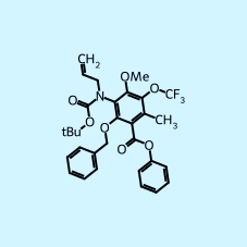 C=CCN(C(=O)OC(C)(C)C)c1c(OC)c(OC(F)(F)F)c(C)c(C(=O)Oc2ccccc2)c1OCc1ccccc1